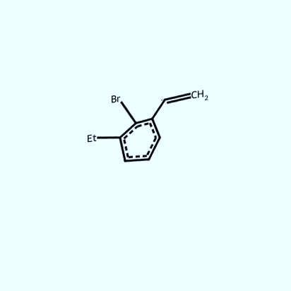 C=[C]c1cccc(CC)c1Br